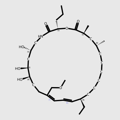 CCC[C@@H]1OC(=O)[C@@H](C)C[C@H](C)CCCCCC[C@@H](CC)/C=C/C=C(\COC)CC[C@@H](O)[C@@H](O)C[C@H](O)CNC1=O